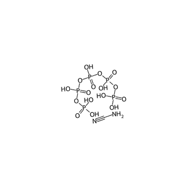 N#CN.O=P(O)(O)OP(=O)(O)OP(=O)(O)OP(=O)(O)OP(=O)(O)O